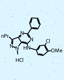 CCCc1nn(C)c2c(Nc3ccc(OC)c(Cl)c3)nc(-c3ccccc3)nc12.Cl